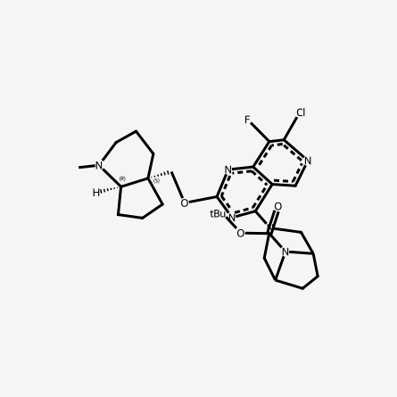 CN1CCC[C@@]2(COc3nc(N4CC5CCC(C4)N5C(=O)OC(C)(C)C)c4cnc(Cl)c(F)c4n3)CCC[C@@H]12